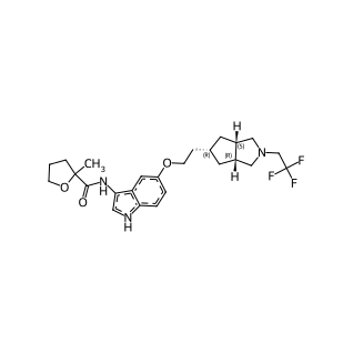 CC1(C(=O)Nc2c[nH]c3ccc(OCC[C@@H]4C[C@@H]5CN(CC(F)(F)F)C[C@@H]5C4)cc23)CCCO1